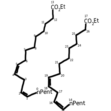 CCCCC/C=C\C/C=C\CCCCCCCC(=O)OCC.CCCCC/C=C\C/C=C\CCCCCCCC(=O)OCC